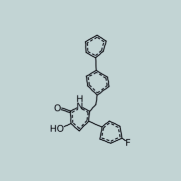 O=c1[nH]c(Cc2ccc(-c3ccccc3)cc2)c(-c2ccc(F)cc2)cc1O